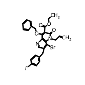 C=CCn1c(=O)c(C(=O)OCC)c(OCc2ccccc2)c2ncc(Cc3ccc(F)cc3)c(Br)c21